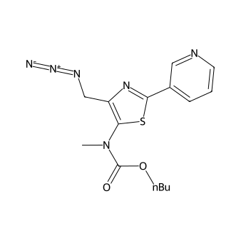 CCCCOC(=O)N(C)c1sc(-c2cccnc2)nc1CN=[N+]=[N-]